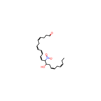 CC/C=C\C/C=C\CC(O)C(\C=C/C=C\C=C/C/C=C\CC[C]=O)[N+](=O)[O-]